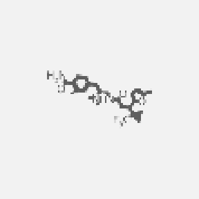 Cc1ccc(C(CC(=O)NC[C@H](Cc2ccc(C(N)=O)c(F)c2)N(C)C)C2(C(F)(F)F)CC2)o1